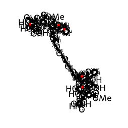 COC(=O)C1CC(NC(=O)c2cc(=O)[nH]c(=O)[nH]2)C(O[C@@H]2OC(C)[C@@H](O)C(O)C2O)[C@H](O[C@@H]2OC(CO)[C@H](O)C(O[C@@H](CC3CCCCC3)C(=O)N3CCC3)C2OC(=O)Cn2cc(COCCOCCOCCOCCOCc3cn(CC(=O)OC4C(O[C@@H](CC5CCCCC5)C(=O)N5CCC5)[C@@H](O)C(CO)O[C@H]4O[C@@H]4CC(C(=O)OC)CC(NC(=O)c5cc(=O)[nH]c(=O)[nH]5)C4O[C@@H]4OC(C)[C@@H](O)C(O)C4O)nn3)nn2)C1